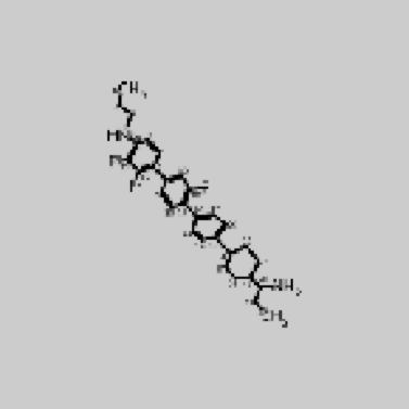 CCCNc1ccc(-c2ccc(-c3ccc(C4CCC(C(N)CC)CC4)cc3)c(F)c2)c(F)c1F